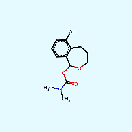 CC(=O)c1cccc2c1CCCOC2OC(=O)N(C)C